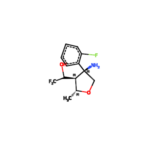 C[C@H]1OC[C@@](N)(c2ccccc2F)[C@@H]1C(O)C(F)(F)F